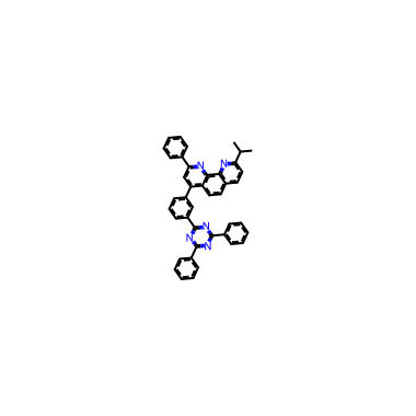 CC(C)c1ccc2ccc3c(-c4cccc(-c5nc(-c6ccccc6)nc(-c6ccccc6)n5)c4)cc(-c4ccccc4)nc3c2n1